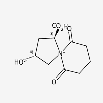 O=C(O)[C@@H]1C[C@@H](O)C[N+]12C(=O)CCCC2=O